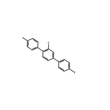 Cc1ccc(-c2ccc(-c3ccc(F)cc3)cc2F)cc1